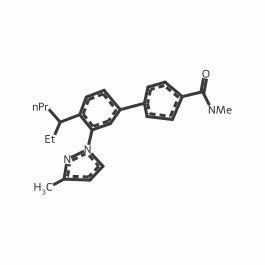 CCCC(CC)c1ccc(-c2ccc(C(=O)NC)cc2)cc1-n1ccc(C)n1